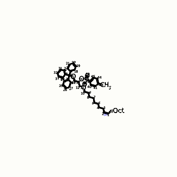 CCCCCCCC/C=C\CCCCCCCCOCC(COC(c1ccccc1)(c1ccccc1)c1ccccc1)OS(=O)(=O)c1ccc(C)cc1